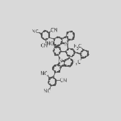 N#Cc1cc(C#N)c(-c2ccc3c(c2)c2ccccc2n3-c2ccc(C#N)cc2-c2ccc(-c3c(C(F)(F)F)cccc3C(F)(F)F)cc2-n2c3ccccc3c3cc(-c4c(C#N)cc(C#N)cc4C#N)ccc32)c(C#N)c1